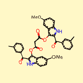 COc1ccc2[nH]c(C(=O)c3cccc(C)c3)c(OC(=O)CC(=O)Oc3c(C(=O)c4cccc(C)c4)[nH]c4ccc(OC)cc34)c2c1